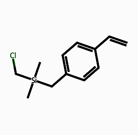 C=Cc1ccc(C[Si](C)(C)CCl)cc1